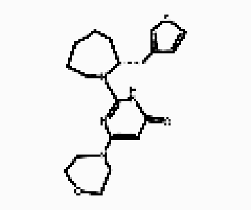 O=c1cc(N2CCOCC2)nc(N2CCCCC[C@@H]2Cc2ccsc2)[nH]1